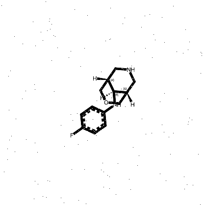 Fc1ccc(N[C@@H]2[C@@H]3CNC[C@H]2COC3)cc1